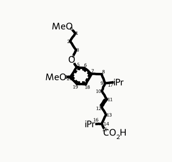 COCCCOc1cc(CC(CC=CCC(C(=O)O)C(C)C)C(C)C)ccc1OC